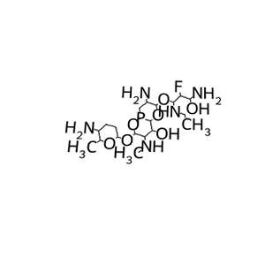 CCNC(OC1OC2C(O)C(NC)C(OC3CCC(N)C(C)O3)OP2CC1N)C(F)C(N)O